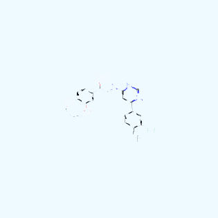 OC(CNc1cc(-c2ccc(C(F)(F)F)c(Cl)c2)ncn1)c1ccc2c(c1)OCCCO2